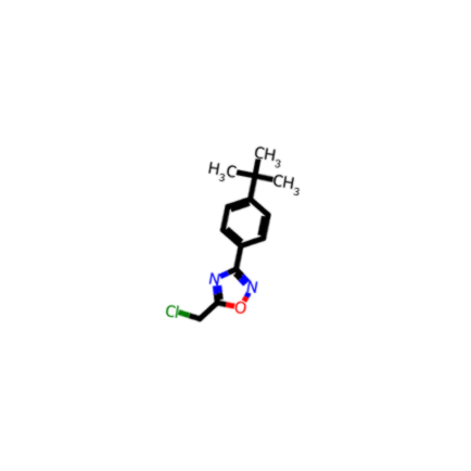 CC(C)(C)c1ccc(-c2noc(CCl)n2)cc1